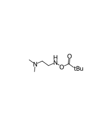 CN(C)CCNOC(=O)C(C)(C)C